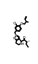 C=CC(C)COc1ccc(Cn2cc3c(n2)CCNC3C(=O)[C@H](C)CC)cc1Cl